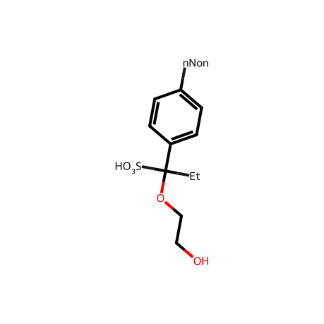 [CH2]CC(OCCO)(c1ccc(CCCCCCCCC)cc1)S(=O)(=O)O